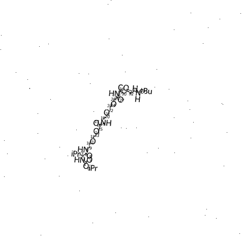 CC(C)OC(=O)NC(C(=O)NCCOCCOCC(=O)NCCOCCOCC(=O)NC(CCCCNC(C)(C)C)C(=O)O)C(C)C